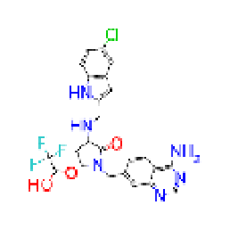 Nc1ncnc2cc(CN3CCC(NCc4cc5cc(Cl)ccc5[nH]4)C3=O)ccc12.O=C(O)C(F)(F)F